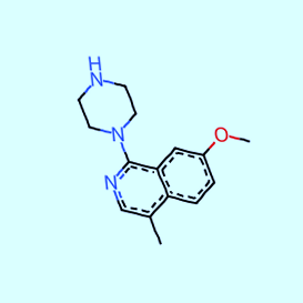 COc1ccc2c(C)cnc(N3CCNCC3)c2c1